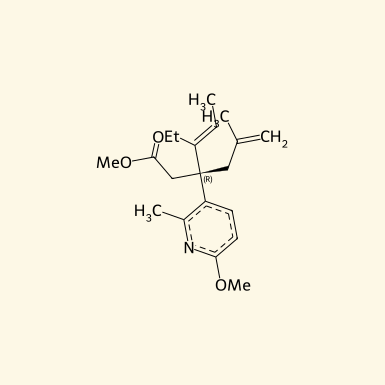 C=C(C)C[C@@](CC(=O)OC)(C(=CC)CC)c1ccc(OC)nc1C